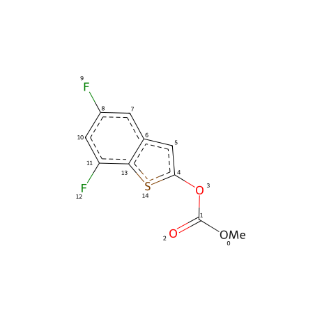 COC(=O)Oc1cc2cc(F)cc(F)c2s1